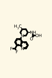 C[C@H]1C[C@@H](NC(=O)O)CN(c2ccc(C(F)F)c3ncccc23)C1